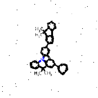 CC1(C)c2ccccc2-c2ccc(-c3ccc4c(c3)c3cc(-c5ccccc5)cc5c3n4-c3ccccc3C5(C)C)cc21